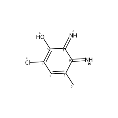 CC1=CC(Cl)=C(O)C(=N)C1=N